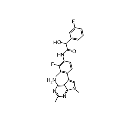 Cc1nc(N)c2c(-c3ccc(NC(=O)C(O)c4cccc(F)c4)c(F)c3C)cn(C)c2n1